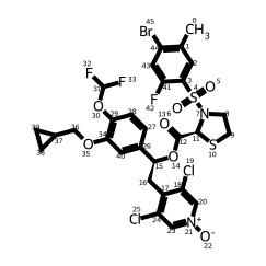 Cc1cc(S(=O)(=O)N2CCS[C@H]2C(=O)O[C@@H](Cc2c(Cl)c[n+]([O-])cc2Cl)c2ccc(OC(F)F)c(OCC3CC3)c2)c(F)cc1Br